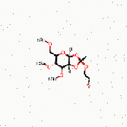 CCCCOCC1O[C@H]2OC(C)(OCCBr)O[C@@H]2C(OCCCC)[C@@H]1OCCCC